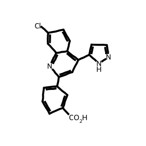 O=C(O)c1cccc(-c2cc(-c3ccn[nH]3)c3ccc(Cl)cc3n2)c1